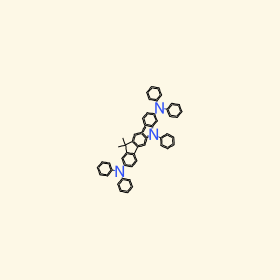 CC1(C)c2cc(N(c3ccccc3)c3ccccc3)ccc2-c2cc3c(cc21)c1ccc(N(c2ccccc2)c2ccccc2)cc1n3-c1ccccc1